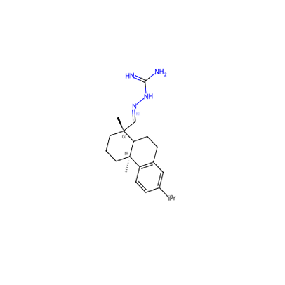 CC(C)c1ccc2c(c1)CCC1[C@@](C)(/C=N/NC(=N)N)CCC[C@]21C